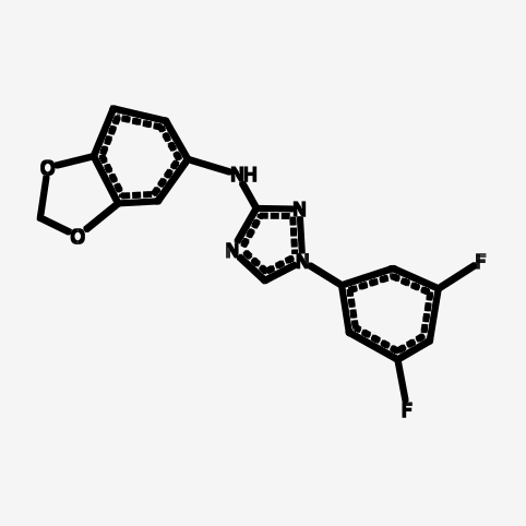 Fc1cc(F)cc(-n2cnc(Nc3ccc4c(c3)OCO4)n2)c1